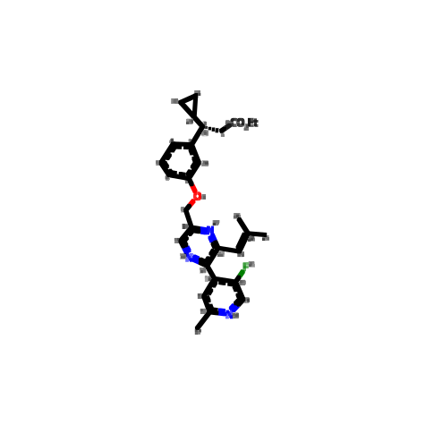 CCOC(=O)C[C@H](c1cccc(OCc2cnc(-c3cc(C)ncc3F)c(C=C(C)C)n2)c1)C1CC1